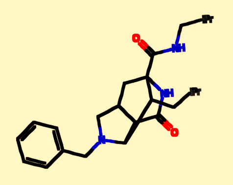 CC(C)CNC(=O)C12CC3CN(Cc4ccccc4)C(C3C(=O)N1)C2CC(C)C